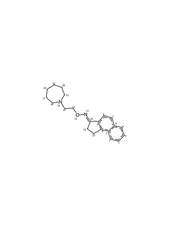 c1ccc2c3c(ccc2c1)C(=NOCCN1CCCCCC1)CC3